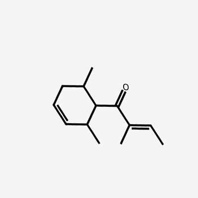 C/C=C(\C)C(=O)C1C(C)C=CCC1C